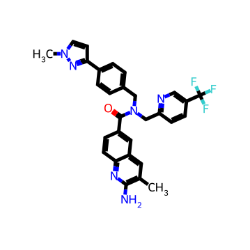 Cc1cc2cc(C(=O)N(Cc3ccc(-c4ccn(C)n4)cc3)Cc3ccc(C(F)(F)F)cn3)ccc2nc1N